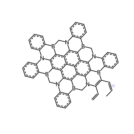 C=CC1=C(/C=C\C)B2c3ccccc3N3CB4c5ccccc5N5CB6c7ccccc7N7c8ccccc8B8CN9c%10ccccc%10B%10CN1c1c2c3c2c4c5c3c6c7c8c4c9c%10c1c2c43